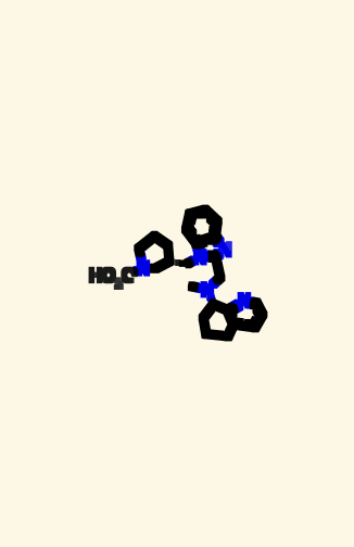 CN(Cc1nc2ccccc2n1C[C@H]1CCCN(C(=O)O)C1)[C@@H]1CCCc2cccnc21